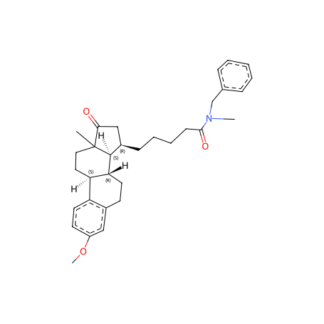 COc1ccc2c(c1)CC[C@H]1[C@@H]3[C@H](CCCCC(=O)N(C)Cc4ccccc4)CC(=O)C3(C)CC[C@H]21